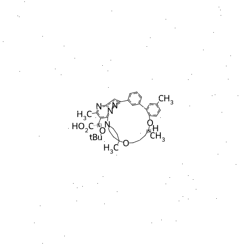 Cc1ccc2c(c1)-c1cccc(c1)-c1cc3nc(C)c([C@H](OC(C)(C)C)C(=O)O)c(n3n1)N1CCC(C)(CC1)OCCC[C@H](C)O2